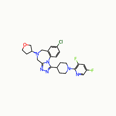 Fc1cnc(N2CCC(c3nnc4n3-c3ccc(Cl)cc3CN([C@H]3CCOC3)C4)CC2)c(F)c1